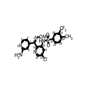 CON=C(c1ccnc(N)c1)c1ncc(Cl)cc1NS(=O)(=O)c1ccc(C)c(C(F)(F)F)c1